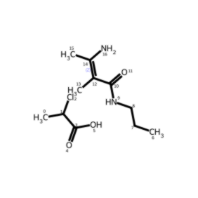 CC(Cl)C(=O)O.CCCNC(=O)/C(C)=C(/C)N